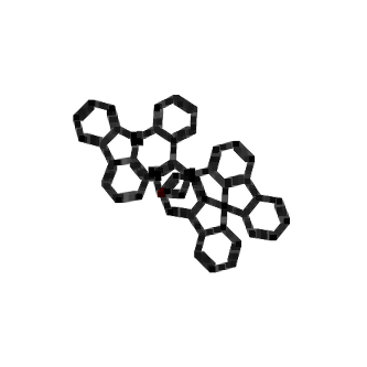 C1=CC2c3ccccc3C3(c4c(cccc4-n4ccnc4-c4ccccc4-n4c5ccccc5c5ccccc54)C4C=CC=CC43)C2C=C1